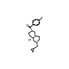 O=C(c1ccc(F)cc1)[C@@H]1CC[C@@H]2CN(CC3CC3)CCN2C1